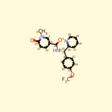 Cn1cc(C(=O)N[C@@H](c2ccc(OC(F)(F)F)cc2)c2ccccn2)ccc1=O